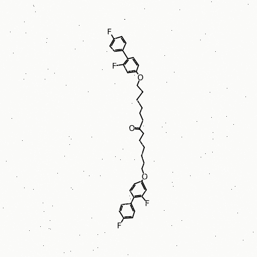 O=C(CCCCCCOc1ccc(-c2ccc(F)cc2)c(F)c1)CCCCCCOc1ccc(-c2ccc(F)cc2)c(F)c1